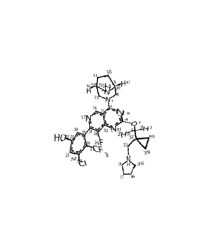 [2H]C([2H])(Oc1nc(N2C[C@H]3CC[C@@H](C2)N3)c2cnc(-c3cc(O)cc(Cl)c3C(F)(F)F)c(F)c2n1)C1(CN2CCCC2)CC1